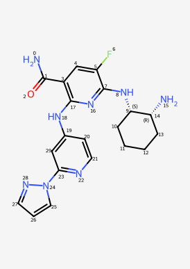 NC(=O)c1cc(F)c(N[C@H]2CCCC[C@H]2N)nc1Nc1ccnc(-n2cccn2)c1